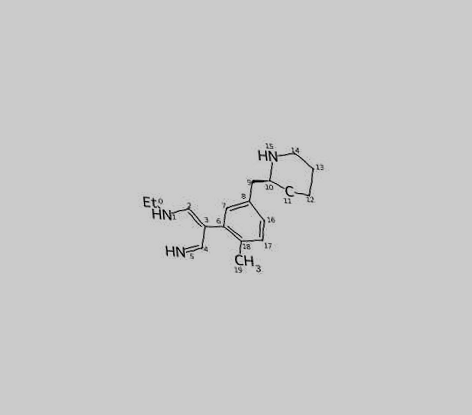 CCN/C=C(\C=N)c1cc(C[C@@H]2CCCCN2)ccc1C